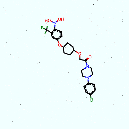 O=C(COC1CCC(Oc2ccc(N(O)O)c(C(F)(F)F)c2)CC1)N1CCN(c2ccc(Cl)cc2)CC1